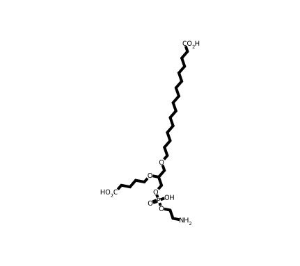 NCCOP(=O)(O)OCC(COCCCCCCCCCCCCCCCC(=O)O)OCCCCC(=O)O